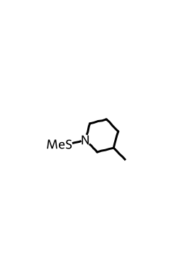 CSN1CCCC(C)C1